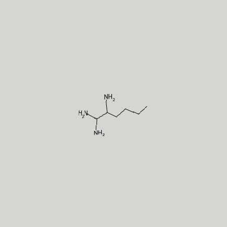 CCCCC(N)C(N)N